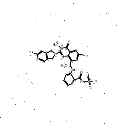 C[C@@H](Nc1cccnc1C(=O)NS(C)(=O)=O)c1cc(F)cc2c(=O)n(C)c(N3Cc4ccc(F)cc4C3)nc12